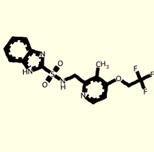 Cc1c(OCC(F)(F)F)ccnc1CNS(=O)(=O)c1nc2ccccc2[nH]1